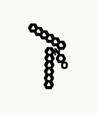 O=C1CCC(N(c2cccc3cc4cc5cc6cc7ccccc7cc6cc5cc4cc23)c2cccc3cc4cc5cc6cc7ccccc7cc6cc5cc4cc23)CC1